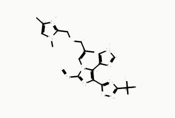 C=Nc1nc(-c2nc(C(F)(F)F)n[nH]2)c(-c2c[nH]cn2)n1/C=C(\C)COCc1nc(C)cn1C